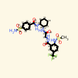 CS(=O)(=O)Nc1ccc(C(F)(F)F)cc1C(=O)NCC(=O)N[C@@H]1CCCC[C@@H]1NC(=O)c1ccc(S(N)(=O)=O)cc1